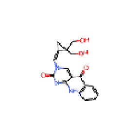 Nc1nc(=O)n(C=C2CC2(CO)CO)cc1C(=O)c1ccccc1